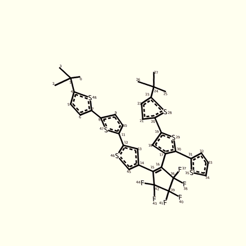 CC(C)(C)c1ccc(-c2ccc(-c3cc(C4=C(c5cc(-c6ccc(C(C)(C)C)s6)sc5-c5cccs5)C(F)(F)C(F)(F)C4(F)F)cs3)s2)s1